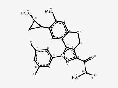 COc1cc2c(cc1C1C[C@H]1C(=O)O)-c1c(c(C(=O)N(C)C(C)(C)C)nn1-c1cc(Cl)cc(Cl)c1)CO2